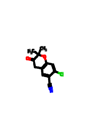 CC1(C)Oc2cc(Cl)c(C#N)cc2CC1=O